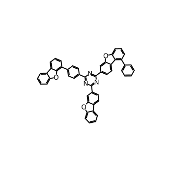 c1ccc(-c2cccc3oc4cc(-c5nc(-c6ccc(-c7cccc8c7oc7ccccc78)cc6)nc(-c6ccc7c(c6)oc6ccccc67)n5)ccc4c23)cc1